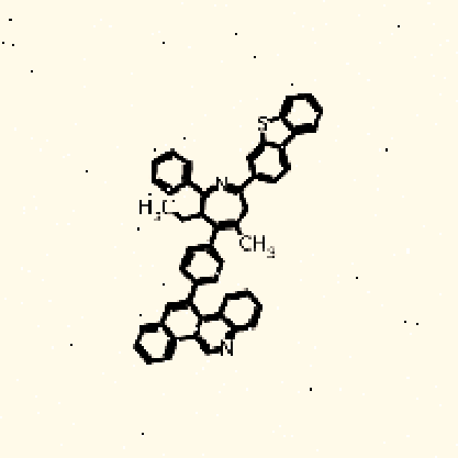 CCC1C(c2ccc(-c3cc4ccccc4c4cnc5ccccc5c34)cc2)=C(C)CC(c2ccc3c(c2)sc2ccccc23)=NC1c1ccccc1